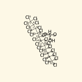 ClC(Cl)(Cl)C(Cl)(Cl)C(Cl)(Cl)C(Cl)(Cl)C(Cl)(Cl)C(Cl)(Cl)C(Cl)(Cl)C(Cl)(Cl)C(Cl)(Cl)C(Cl)(Cl)C(Cl)(Cl)Cl.O=[SH](=O)O